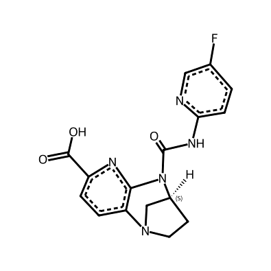 O=C(O)c1ccc2c(n1)N(C(=O)Nc1ccc(F)cn1)[C@H]1CCN2C1